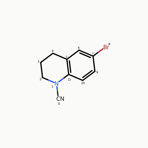 N#CN1CCCc2cc(Br)ccc21